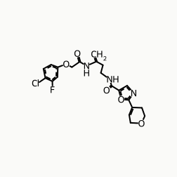 C=C(CCNC(=O)c1cnc(C2=CCOCC2)o1)NC(=O)COc1ccc(Cl)c(F)c1